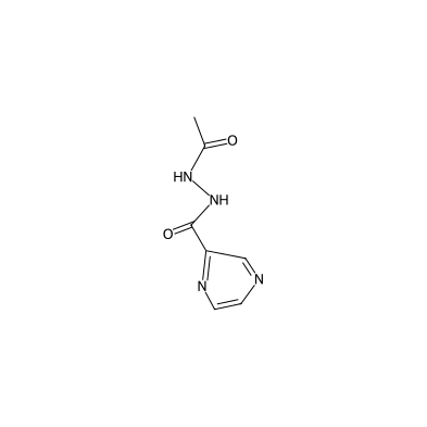 CC(=O)NNC(=O)c1cnccn1